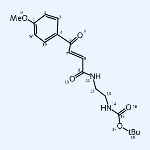 COc1ccc(C(=O)/C=C/C(=O)NCCNC(=O)OC(C)(C)C)cc1